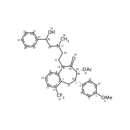 COc1ccc([C@@H]2Cc3c(cccc3C(F)(F)F)N(CCN(C)CC(O)c3ccccc3)C(=O)[C@@H]2OC(C)=O)cc1